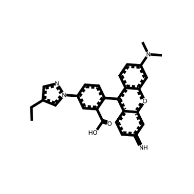 CCc1cnn(-c2ccc(-c3c4ccc(=N)cc-4oc4cc(N(C)C)ccc34)c(C(=O)O)c2)c1